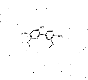 COc1cc(-c2ccc(N)c(OC)c2)ccc1N.Cl